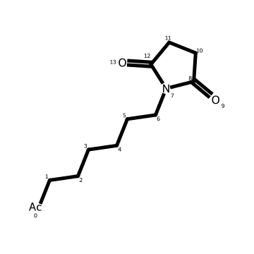 CC(=O)CCCCCCN1C(=O)CCC1=O